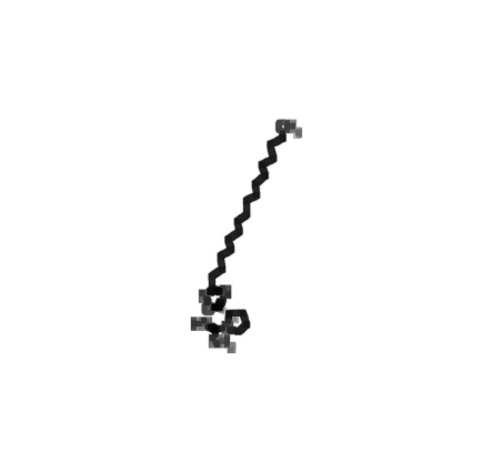 CCCCCCCCCCCCCCCCCc1noc([C@@H]2CCCN2C(=N)N)n1